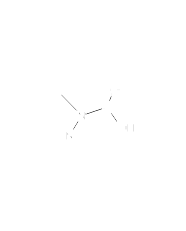 CN(N)P(O)O